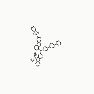 CC1(C)c2ccccc2-c2ccc(C(c3ccc(-c4ccc(-c5ccccc5)cc4)cc3)c3cccc4c3oc3ccc(-c5nc6ccccc6o5)cc34)cc21